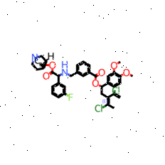 C=C(Cl)/C(CC(OC(=O)c1cccc(CNC(C(=O)O[C@H]2CN3CCC2CC3)c2cccc(F)c2)c1)c1ccc(OC)c(OC)c1)=C(\C)Cl